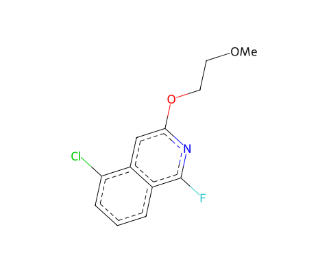 COCCOc1cc2c(Cl)cccc2c(F)n1